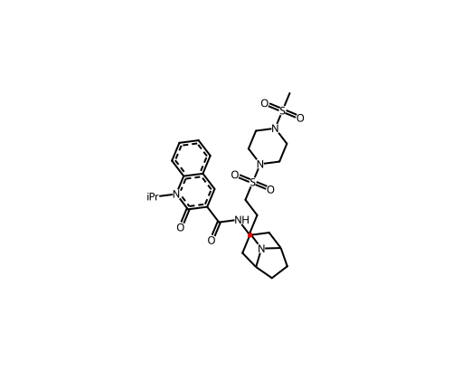 CC(C)n1c(=O)c(C(=O)NC2CC3CCC(C2)N3CCCS(=O)(=O)N2CCN(S(C)(=O)=O)CC2)cc2ccccc21